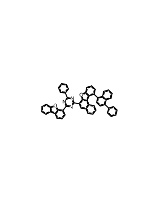 c1ccc(-c2nc(-c3cccc4c3oc3ccccc34)nc(-c3cc4ccccc4c4c3oc3cccc(-c5ccc(-c6ccccc6)c6ccccc56)c34)n2)cc1